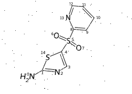 Nc1ncc(S(=O)(=O)c2ccccn2)s1